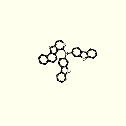 c1ccc2c(c1)ccc1c2sc2ccnc(N(c3ccc4c(c3)oc3ccccc34)c3ccc4c(c3)oc3ccccc34)c21